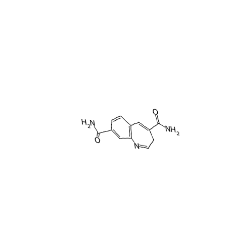 NC(=O)C1=Cc2ccc(C(N)=O)cc2N=CC1